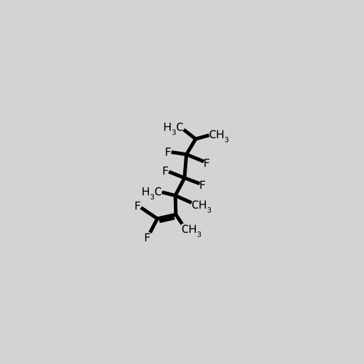 CC(=C(F)F)C(C)(C)C(F)(F)C(F)(F)C(C)C